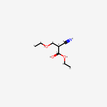 CCOCC(C#N)C(=O)OCC